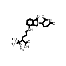 CC(C)(C)C(CCCNc1cccc2c1CN(C1CCC(=O)NC1=O)C2=O)C(=O)O